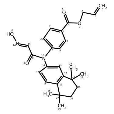 C=CCOC(=O)c1ccc(N(C(=O)C=NO)c2ccc3c(c2)C(C)(C)CCC3(C)C)cc1